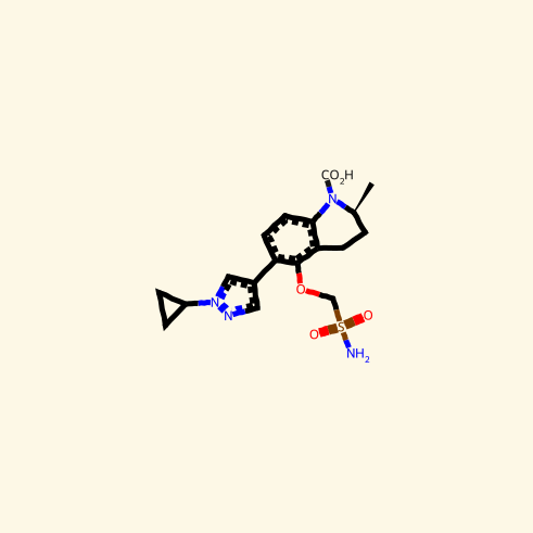 C[C@H]1CCc2c(ccc(-c3cnn(C4CC4)c3)c2OCS(N)(=O)=O)N1C(=O)O